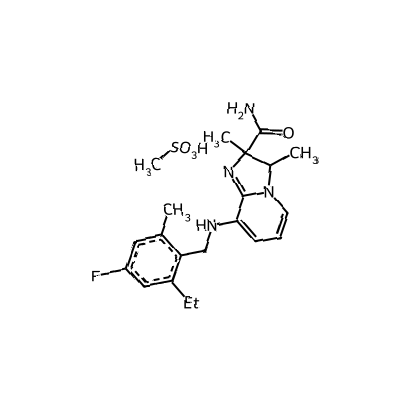 CCc1cc(F)cc(C)c1CNC1=CC=CN2C1=NC(C)(C(N)=O)C2C.CS(=O)(=O)O